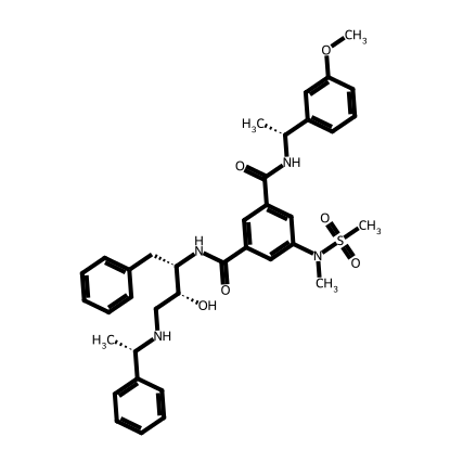 COc1cccc([C@@H](C)NC(=O)c2cc(C(=O)N[C@@H](Cc3ccccc3)[C@H](O)CN[C@@H](C)c3ccccc3)cc(N(C)S(C)(=O)=O)c2)c1